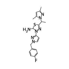 Cc1cc(C)n(C(C)C2=NN(c3ccn(Cc4ccc(F)cc4)n3)C(N)S2)n1